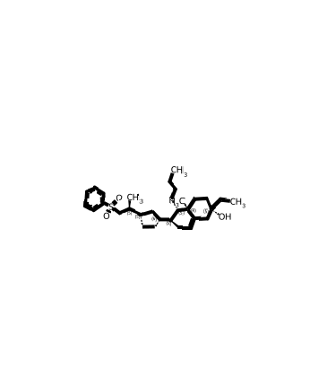 CCCC[C@H]1[C@H]([C@@H]2CC[C@H]([C@H](C)CS(=O)(=O)c3ccccc3)C2)CC=C2C[C@](O)(CC)CC[C@@]21C